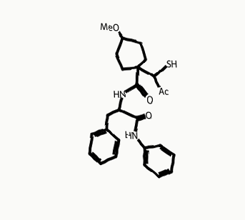 COC1CCC(C(=O)NC(Cc2ccccc2)C(=O)Nc2ccccc2)(C(S)C(C)=O)CC1